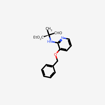 CCOC(=O)[C@@](C)(C=O)Nc1ncccc1OCc1ccccc1